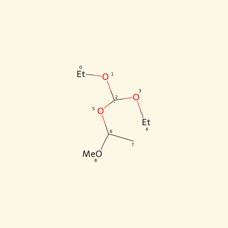 CCO[C](OCC)OC(C)OC